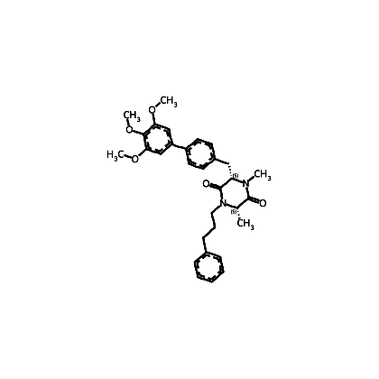 COc1cc(-c2ccc(C[C@H]3C(=O)N(CCCc4ccccc4)[C@@H](C)C(=O)N3C)cc2)cc(OC)c1OC